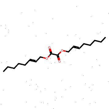 CCCCCC=CCOC(=O)C(=O)OCC=CCCCCC